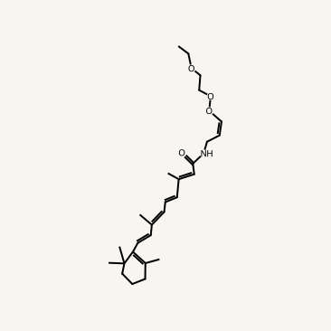 CCOCCOO/C=C\CNC(=O)/C=C(C)/C=C/C=C(C)/C=C/C1=C(C)CCCC1(C)C